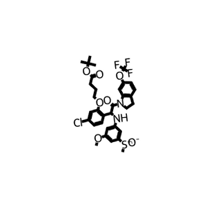 COc1cc(NC(C(=O)N2CCc3ccc(OC(F)(F)F)cc32)c2ccc(Cl)cc2OCCCC(=O)OC(C)(C)C)cc([S+](C)[O-])c1